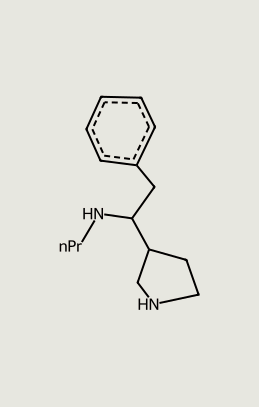 CCCNC(Cc1ccccc1)C1CCNC1